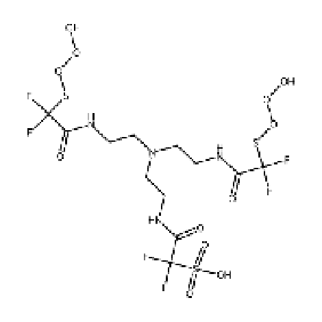 O=C(NCCN(CCNC(=O)C(F)(F)SOOO)CCNC(=O)C(F)(F)S(=O)(=O)O)C(F)(F)SOOO